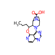 CCCC1Oc2nccc3ncnc(c23)N2CC3CCC(C12)N3C(=O)O